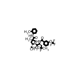 C#C[C@@H]1C[C@](C)(C(=O)Nc2ccccc2C)CN1C(=O)[C@H](CC(C)(C)F)NC(=O)c1cccc(OC(F)(F)F)c1